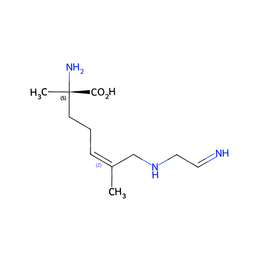 C/C(=C/CC[C@](C)(N)C(=O)O)CNCC=N